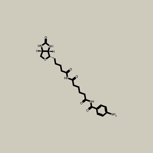 Nc1ccc(C(=O)NC(=O)CCCCC(=O)NC(=O)CCCC[C@@H]2SC[C@@H]3NC(=O)N[C@@H]32)cc1